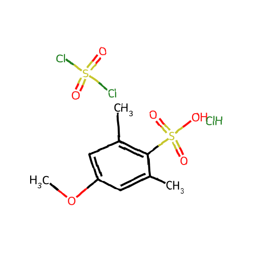 COc1cc(C)c(S(=O)(=O)O)c(C)c1.Cl.O=S(=O)(Cl)Cl